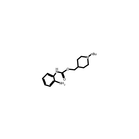 CCCCN1CCC(COC(=O)Nc2ccccc2N)CC1